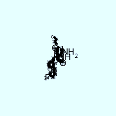 CCCCOc1nc(N)c2c(n1)N(Cc1cccc(CN3CCC(F)C3)c1)CC(=O)N2